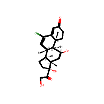 C[C@]12CCC(=O)C=C1C(Cl)=C[C@@H]1[C@@H]2[C@@H](O)C[C@@]2(C)[C@H]1CC[C@]2(O)C(=O)CO